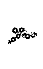 CC(C)(C)c1ccc(-c2ccc3c(c2)N(c2ccccc2)c2cccc4c2B3c2oc3c(c2O4)CC(c2ccncn2)C=C3)cc1